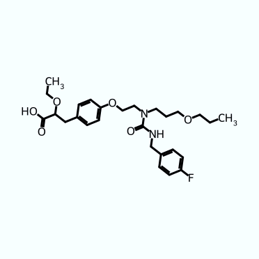 CCCOCCCN(CCOc1ccc(CC(OCC)C(=O)O)cc1)C(=O)NCc1ccc(F)cc1